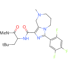 CNC(=O)C(CC(C)(C)C)NC(=O)c1nc(-c2cc(F)c(F)cc2F)n2c1CN(C)CCC2